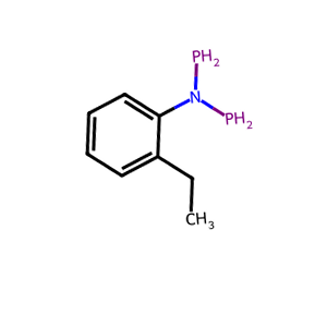 CCc1ccccc1N(P)P